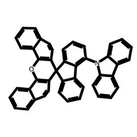 c1ccc2c(c1)-c1c(-n3c4ccccc4c4ccccc43)cccc1C21c2ccc3ccccc3c2Oc2c1ccc1ccccc21